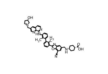 Cc1c(Nc2nccc3cc(CN4CC[C@@H](O)C4)cnc23)cccc1-c1cccc(-c2nc3cc(CN[C@H]4CC[C@@H](C(=O)O)CC4)cc(C#N)c3o2)c1C